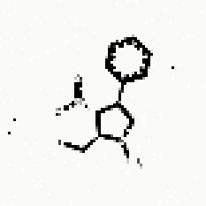 CN1C[C@H](c2ccccc2)[C@@H]([N+](=O)[O-])[C@@H]1CF